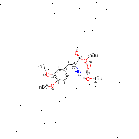 CCCCOC(=O)[C@H](Cc1ccc(OCCCC)c(OCCCC)c1)NC(=O)OC(C)(C)C